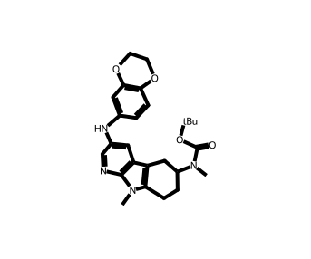 CN(C(=O)OC(C)(C)C)C1CCc2c(c3cc(Nc4ccc5c(c4)OCCO5)cnc3n2C)C1